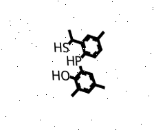 Cc1cc(C)c(O)c(Pc2ccc(C)cc2C(C)S)c1